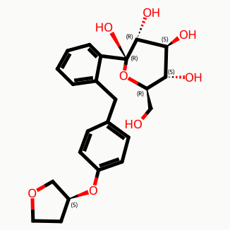 OC[C@H]1O[C@](O)(c2ccccc2Cc2ccc(O[C@H]3CCOC3)cc2)[C@H](O)[C@@H](O)[C@@H]1O